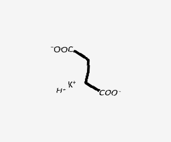 O=C([O-])CCC(=O)[O-].[H+].[K+]